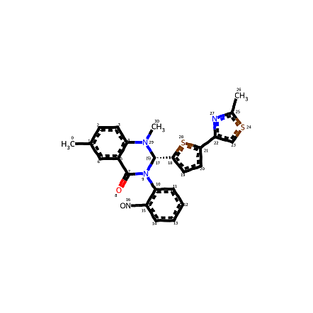 Cc1ccc2c(c1)C(=O)N(c1ccccc1N=O)[C@@H](c1ccc(-c3csc(C)n3)s1)N2C